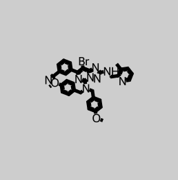 COc1ccc(CN(Cc2ccc(OC)cc2)c2nc(-c3cccc(C#N)c3)c(Br)c3nc(NCc4ncccc4C)nn23)cc1